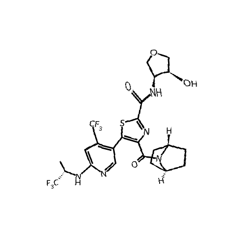 C[C@H](Nc1cc(C(F)(F)F)c(-c2sc(C(=O)N[C@H]3COC[C@H]3O)nc2C(=O)N2[C@H]3CC[C@H]2CC3)cn1)C(F)(F)F